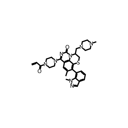 C=CC(=O)N1CCN(c2nc(=O)n3c4c(c(-c5cccc6cnn(C)c56)c(C)cc24)SCC3CN2CCN(C)CC2)CC1